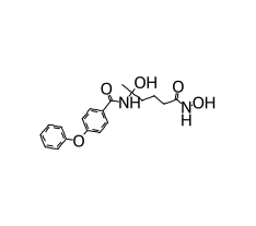 CC(O)(CCCC(=O)NO)NC(=O)c1ccc(Oc2ccccc2)cc1